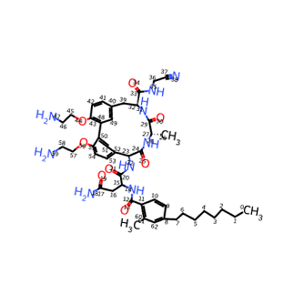 CCCCCCCCc1ccc(C(=O)NC(CC(N)=O)C(=O)N[C@@H]2C(=O)N[C@@H](C)C(=O)N[C@H](C(=O)NCC#N)Cc3ccc(OCCN)c(c3)-c3cc2ccc3OCCN)c(C)c1